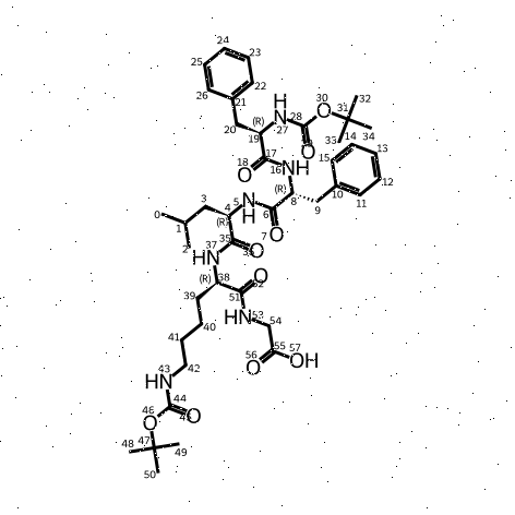 CC(C)C[C@@H](NC(=O)[C@@H](Cc1ccccc1)NC(=O)[C@@H](Cc1ccccc1)NC(=O)OC(C)(C)C)C(=O)N[C@H](CCCCNC(=O)OC(C)(C)C)C(=O)NCC(=O)O